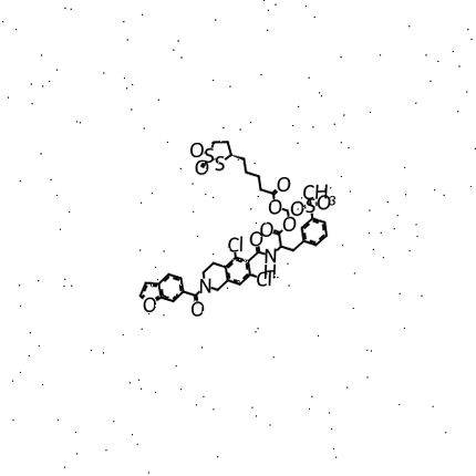 CS(=O)(=O)c1cccc(CC(NC(=O)c2c(Cl)cc3c(c2Cl)CCN(C(=O)c2ccc4ccoc4c2)C3)C(=O)OCOC(=O)CCCC[C@@H]2CCS(=O)(=O)S2)c1